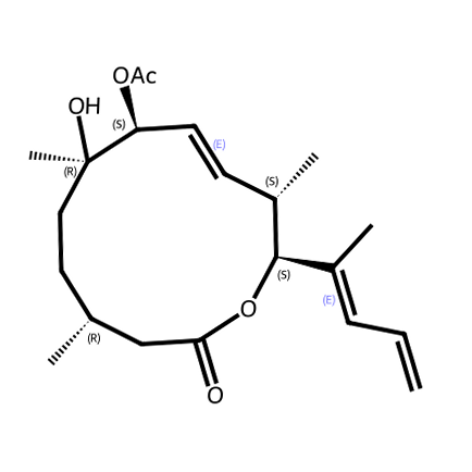 C=C/C=C(\C)[C@H]1OC(=O)C[C@H](C)CC[C@@](C)(O)[C@@H](OC(C)=O)/C=C/[C@@H]1C